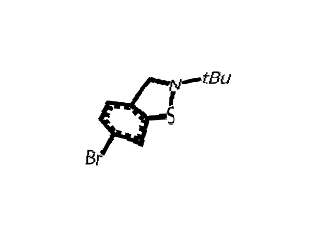 CC(C)(C)N1Cc2ccc(Br)cc2S1